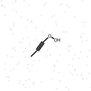 CC#COO